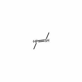 C[PH]=[SH]C